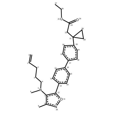 C=CCCCN(C)c1c(C)noc1-c1ccc(-c2ccc(C3(CC(=O)OCC)CC3)cc2)cc1